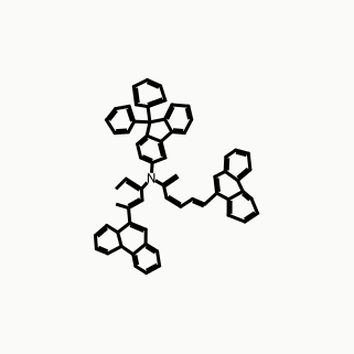 C=C(/C=C\C=C\c1cc2ccccc2c2ccccc12)N(C(/C=C(\C)C1=Cc2ccccc2C2C=CC=CC12)=C/C)c1ccc2c(c1)-c1ccccc1C2(c1ccccc1)c1ccccc1